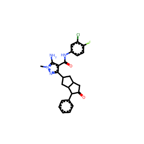 Cn1nc(C2CC3CC(=O)C(c4ccccc4)C3C2)c(C(=O)Nc2ccc(F)c(Cl)c2)c1N